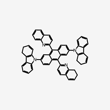 C1=Cc2ccc(-c3c4cc(-n5c6c(c7ccccc75)C=CCC6)ccc4c(-c4ccc5ccccc5n4)c4cc(-n5c6c(c7ccccc75)CCC=C6)ccc34)nc2CC1